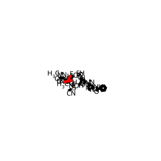 Cn1cnc2c(ncn2[C@@H]2C[C@@]3(F)OP(=O)(S)O[C@@H]4C[C@H](n5cnc6c(NC(=O)c7ccccc7)ncnc65)O[C@@H]4COP(=S)(OCCC#N)O[C@@H]2[C@H]3O[Si](C)(C)C(C)(C)C)c1=O